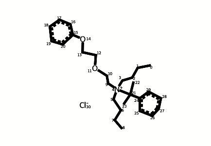 CCCC[N+](CCCC)(CCOCCOc1ccccc1)C(C)(C)c1ccccc1.[Cl-]